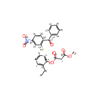 CCc1ccccc1OC(=O)CC(=O)OC.O=C(c1ccccc1)c1ccc([N+](=O)[O-])cc1F